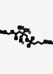 CC(=O)NCCCS(=O)(=O)OCC(C)(C)[C@@H](O)C(=O)OCOC(C)=O